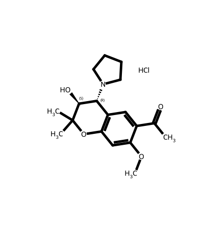 COc1cc2c(cc1C(C)=O)[C@@H](N1CCCC1)[C@H](O)C(C)(C)O2.Cl